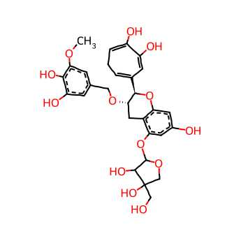 COc1cc(CO[C@H]2Cc3c(OC4OCC(O)(CO)C4O)cc(O)cc3O[C@@H]2C2=CCC=C(O)C(O)=C2)cc(O)c1O